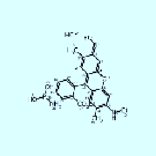 CC/N=c1/cc2oc3cc(NCC)c(C)cc3c(-c3ccccc3C(=O)OCC)c-2cc1C.Cl.NP(O)O